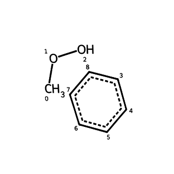 COO.c1ccccc1